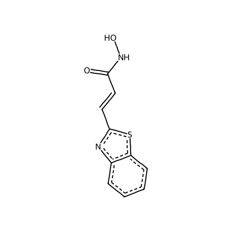 O=C(C=Cc1nc2ccccc2s1)NO